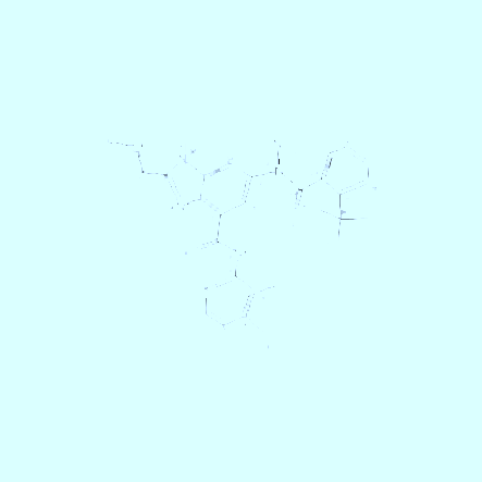 COCc1nc2c(C(=O)Nc3cccc(Cl)c3C)cc(N(N)C(=O)c3ccccc3C(F)(F)F)cc2[nH]1